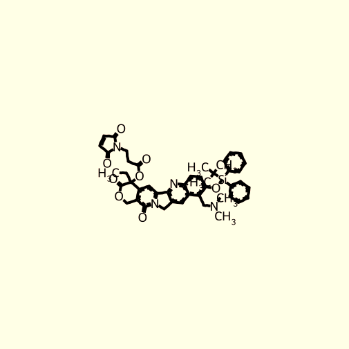 CCC1(OC(=O)CCN2C(=O)C=CC2=O)C(=O)OCc2c1cc1n(c2=O)Cc2cc3c(CN(C)C)c(O[Si](c4ccccc4)(c4ccccc4)C(C)(C)C)ccc3nc2-1